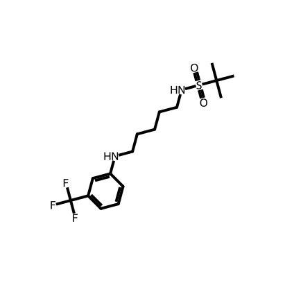 CC(C)(C)S(=O)(=O)NCCCCCNc1cccc(C(F)(F)F)c1